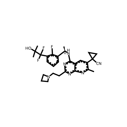 Cc1nc2nc(CCN3CCC3)nc(N[C@H](C)c3cccc(C(F)(F)C(C)(C)O)c3F)c2cc1C1(C#N)CC1